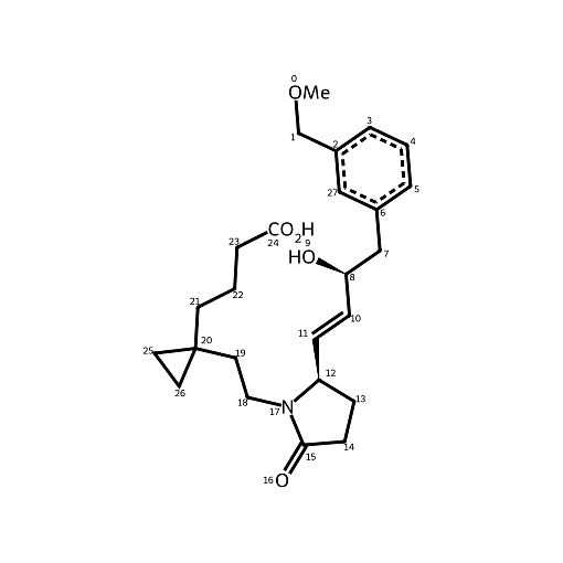 COCc1cccc(C[C@H](O)/C=C/[C@H]2CCC(=O)N2CCC2(CCCC(=O)O)CC2)c1